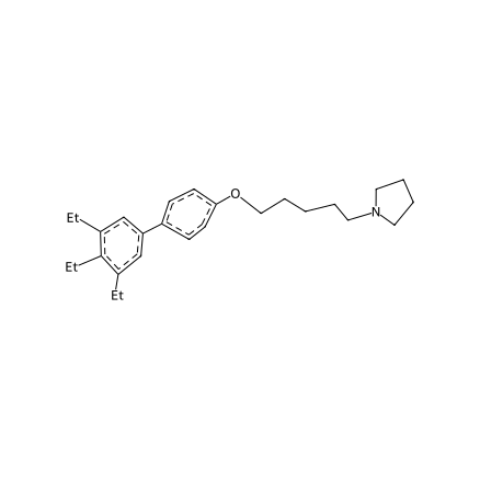 CCc1cc(-c2ccc(OCCCCCN3CCCC3)cc2)cc(CC)c1CC